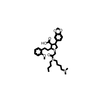 CCCCN(CCCCN(C)C)C(=O)CN1CC(c2ccc3c(c2)OCO3)C(C(=O)O)C1CCc1ccccc1OC